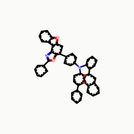 c1ccc(-c2ccc(N(c3ccc(-c4cc5oc6ccccc6c5c5nc(-c6ccccc6)oc45)cc3)c3ccccc3-c3ccc4ccccc4c3)cc2)cc1